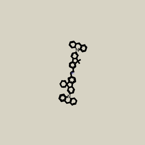 CC1(C)c2cc(/C=C/c3ccc4c(c3)C3(CCCCC3)C3C=C(N5C6=C(C=CCC6)Cc6ccccc65)C=CC43)ccc2C2C=CC(N3c4ccccc4CC4C=CC=CC43)=CC21